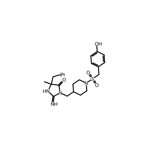 CC(C)CC1(C)NC(=N)N(CC2CCN(S(=O)(=O)Cc3ccc(O)cc3)CC2)C1=O